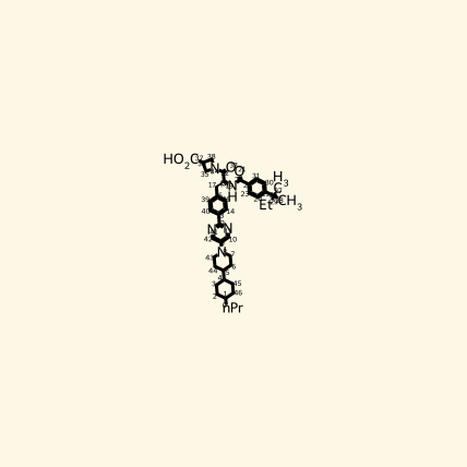 CCCC1CCC(C2CCN(c3cnc(-c4ccc(C[C@H](NC(=O)c5ccc(C(C)(C)CC)cc5)C(=O)N5CC(C(=O)O)C5)cc4)nc3)CC2)CC1